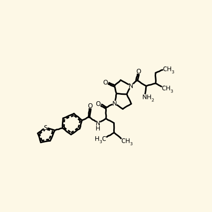 CCC(C)C(N)C(=O)N1CC(=O)C2C1CCN2C(=O)C(CC(C)C)NC(=O)c1ccc(-c2cccs2)cc1